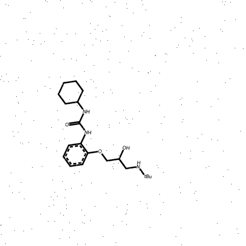 CC(C)(C)NCC(O)COc1ccccc1NC(=O)NC1CCCCC1